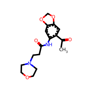 CC(=O)c1cc2c(cc1NC(=O)CCN1CCOCC1)OCO2